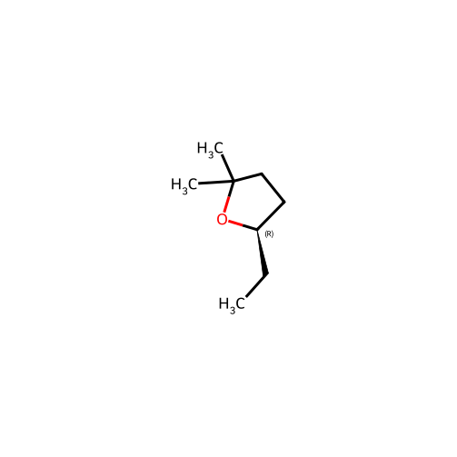 CC[C@@H]1CCC(C)(C)O1